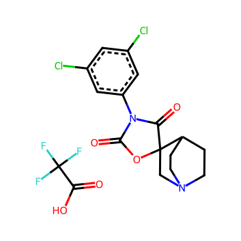 O=C(O)C(F)(F)F.O=C1OC2(CN3CCC2CC3)C(=O)N1c1cc(Cl)cc(Cl)c1